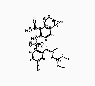 CCN(CC)CC(C)=Cc1cc(F)ccc1S(=O)(=O)Nc1ccc2c(c1C(=O)O)OCC1CC21